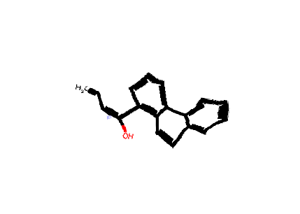 C=C/C=C(/O)c1cccc2c1ccc1ccccc12